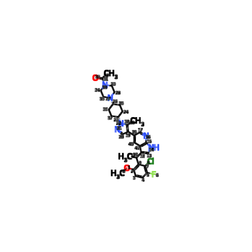 COc1ccc(F)c(Cl)c1[C@@H](C)c1c[nH]c2ncc(-c3cnn([C@H]4CC[C@@H](N5CCN(C(C)=O)CC5)CC4)c3C)cc12